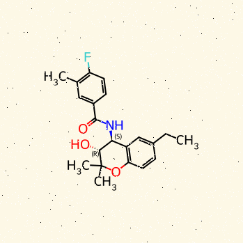 CCc1ccc2c(c1)[C@H](NC(=O)c1ccc(F)c(C)c1)[C@@H](O)C(C)(C)O2